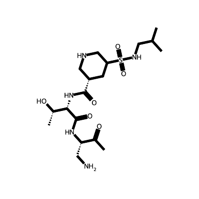 CC(=O)[C@H](CN)NC(=O)[C@@H](NC(=O)[C@@H]1CNCC(S(=O)(=O)NCC(C)C)C1)[C@H](C)O